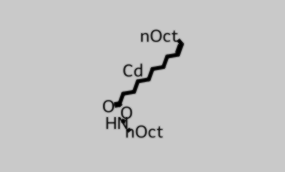 CCCCCCCC/C=C\CCCCCCCC(=O)ONCCCCCCCC.[Cd]